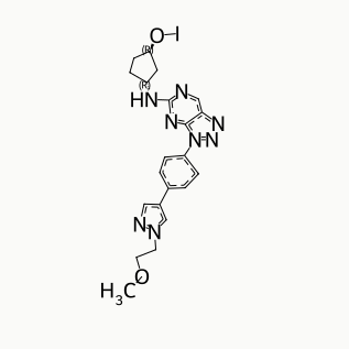 COCCn1cc(-c2ccc(-n3nnc4cnc(N[C@@H]5CC[C@@H](OI)C5)nc43)cc2)cn1